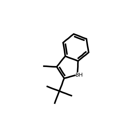 CC1=C(C(C)(C)C)Bc2ccccc21